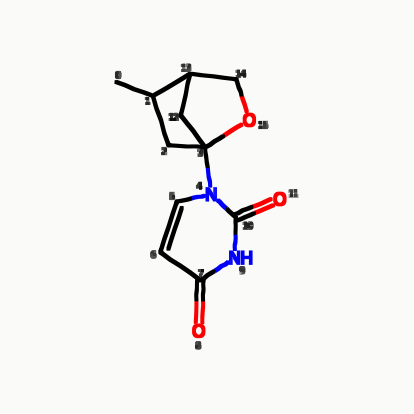 CC1CC2(n3ccc(=O)[nH]c3=O)CC1CO2